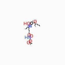 C=CC=CC(=CC)C(=O)c1cc(/N=N/C(C=CC)=CC=CCCOC(=O)NCCOC(=O)C(=C)C)c(O)cc1C